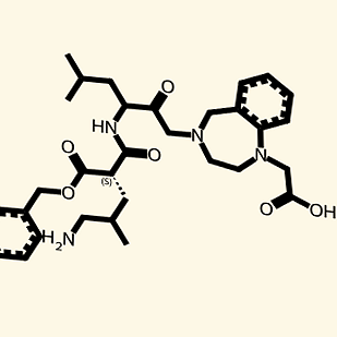 CC(C)CC(NC(=O)[C@H](CC(C)CN)C(=O)OCc1ccccc1)C(=O)CN1CCN(CC(=O)O)c2ccccc2C1